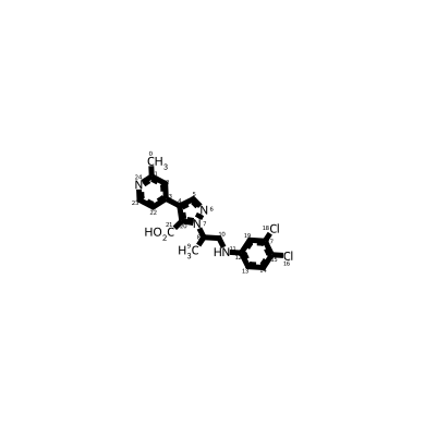 Cc1cc(-c2cnn(C(C)CNc3ccc(Cl)c(Cl)c3)c2C(=O)O)ccn1